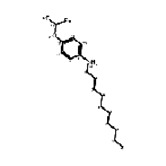 CCCCCCCCCC[SiH2]c1ccc(OC(F)F)cc1